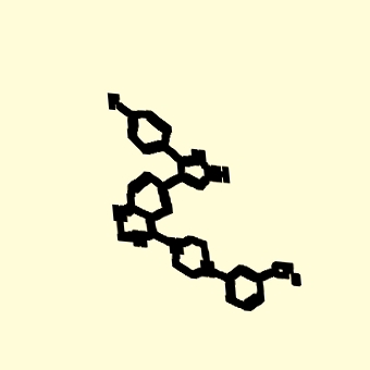 Fc1ccc(-c2n[nH]cc2-c2ccc3ncnc(N4CCN(c5cccc(C(F)(F)F)c5)CC4)c3c2)cc1